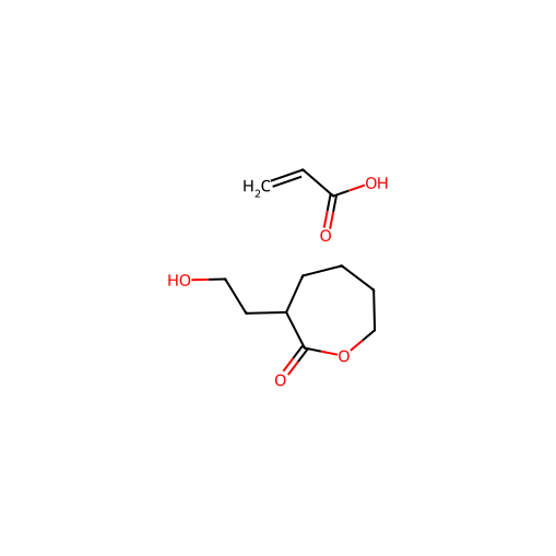 C=CC(=O)O.O=C1OCCCCC1CCO